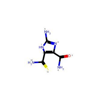 NC(=O)c1nc(N)[nH]c1C(N)=S